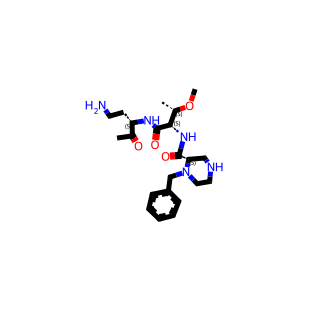 CO[C@@H](C)[C@H](NC(=O)[C@@H]1CNCCN1Cc1ccccc1)C(=O)N[C@@H](CCN)C(C)=O